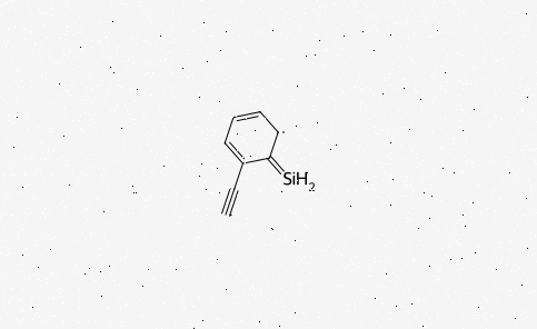 [C]#CC1=CC=C[CH]C1=[SiH2]